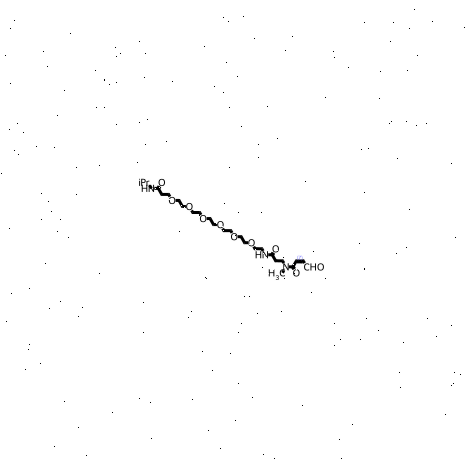 CC(C)NC(=O)CCOCCOCCOCCOCCOCCOCCNC(=O)CCN(C)C(=O)/C=C\C=O